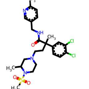 CC1CN(CCC(C)(C(=O)NCc2ccc(C(F)(F)F)nc2)c2ccc(Cl)c(Cl)c2)CCN1S(C)(=O)=O